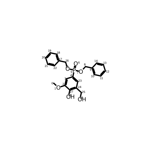 COc1cc(P(=O)(OCc2ccccc2)OCc2ccccc2)cc(CO)c1O